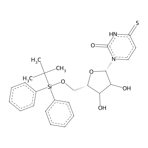 CC(C)(C)[Si](OC[C@@H]1O[C@H](n2ccc(=S)[nH]c2=O)C(O)C1O)(c1ccccc1)c1ccccc1